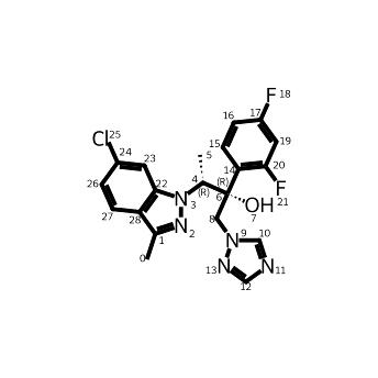 Cc1nn([C@H](C)[C@](O)(Cn2cncn2)c2ccc(F)cc2F)c2cc(Cl)ccc12